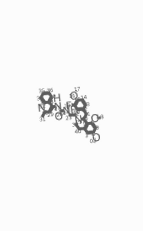 COc1cc2c(c(OC)c1)C(Cc1ccc(OC)c(F)c1)N(CCNC(=O)Nc1cc(C)nc3ccccc13)CC2